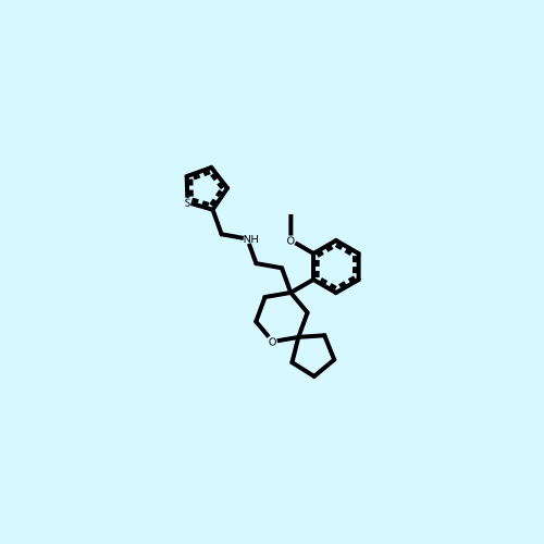 COc1ccccc1C1(CCNCc2cccs2)CCOC2(CCCC2)C1